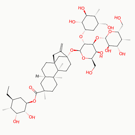 C=C1C[C@]23CC[C@@H]4C[C@](C)(C(=O)O[C@@H]5C[C@H](CC)[C@@H](C)[C@@H](O)[C@H]5O)CC[C@]4(C)[C@]2(C)CC[C@@]1(O[C@@H]1O[C@H](CO)[C@H](O)[C@H](O[C@@H]2O[C@H](CO)[C@H](C)[C@H](O)[C@H]2O)[C@H]1O[C@H]1C[C@@H](CO)[C@@H](C)[C@H](O)[C@H]1O)C3